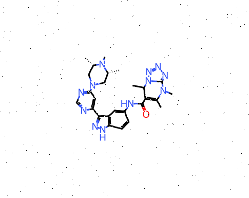 CC1=C(C(=O)Nc2ccc3[nH]nc(-c4cc(N5C[C@@H](C)N(C)[C@@H](C)C5)ncn4)c3c2)C(C)n2nnnc2N1C